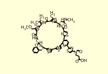 CNC(=O)C[C@@H]1NC(=O)c2csc(n2)-c2ccc(-c3nc(N(C=O)CCC(=O)O)cs3)nc2-c2csc(n2)-c2csc(n2)[C@H](Cc2ccccc2)NC(=O)CNC(=O)c2nc(sc2COC)C(C(C)C)NC(=O)c2nc1sc2C